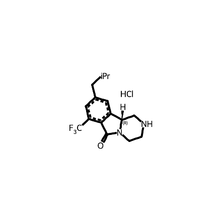 CC(C)Cc1cc2c(c(C(F)(F)F)c1)C(=O)N1CCNC[C@@H]21.Cl